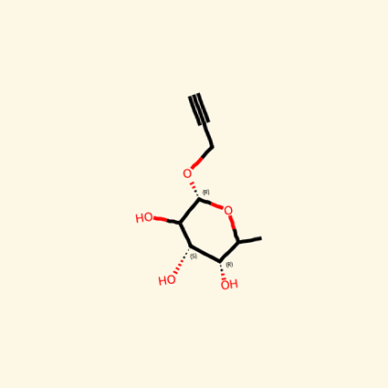 C#CCO[C@@H]1OC(C)[C@H](O)[C@H](O)C1O